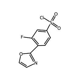 O=S(=O)(Cl)c1ccc(-c2ncco2)c(F)c1